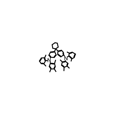 Cc1cc(C)c(N(c2ccc(C3(c4ccc(N(c5cc(C)c(C)cc5C)c5c(C)cccc5C)cc4)CCCCC3)cc2)c2c(C)cccc2C)cc1C